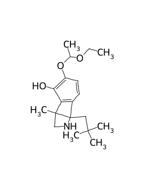 CCOC(C)Oc1ccc2c(c1O)C1(C)CNC21CC(C)(C)C